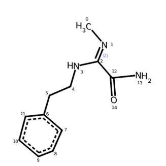 C/N=C(\NCCc1ccccc1)C(N)=O